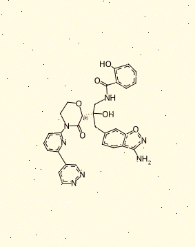 Nc1noc2cc(CC(O)(CNC(=O)c3ccccc3O)[C@H]3OCCN(c4cccc(-c5ccnnc5)n4)C3=O)ccc12